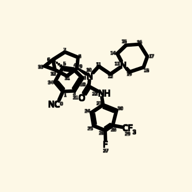 N#Cc1cccc([C@]23CC[C@@H](N(CCN4CCCCCC4)C(=O)Nc4ccc(F)c(C(F)(F)F)c4)CC2C3)c1